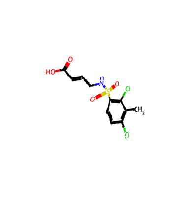 Cc1c(Cl)ccc(S(=O)(=O)NCC=CC(=O)O)c1Cl